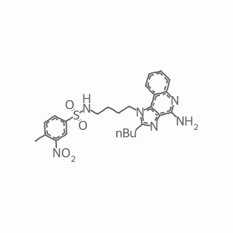 CCCCc1nc2c(N)nc3ccccc3c2n1CCCCNS(=O)(=O)c1ccc(C)c([N+](=O)[O-])c1